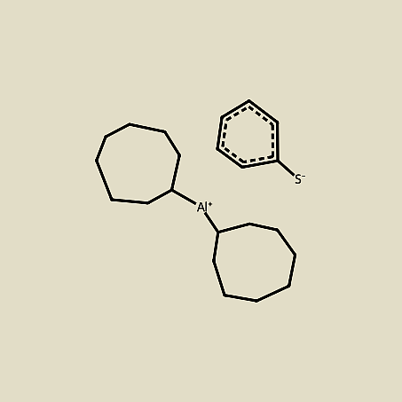 C1CCC[CH]([Al+][CH]2CCCCCCC2)CCC1.[S-]c1ccccc1